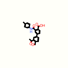 CC(=O)c1cc(-c2ccc(C(=O)O)c(C(=O)Nc3ccc(C)cc3)c2)ccc1C=O